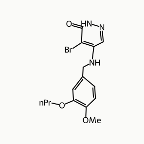 CCCOc1cc(CNc2cn[nH]c(=O)c2Br)ccc1OC